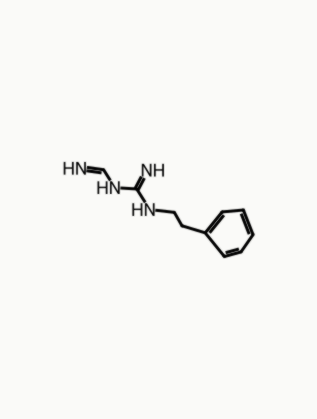 N=CNC(=N)NCCc1ccccc1